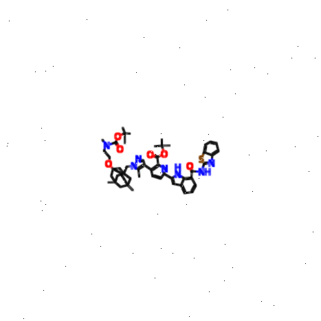 Cc1c(-c2ccc(-c3cc4cccc(C(=O)Nc5nc6ccccc6s5)c4[nH]3)nc2C(=O)OC(C)(C)C)cnn1CC12CC3(C)CC(C)(C1)CC(OCCN(C)C(=O)OC(C)(C)C)(C3)C2